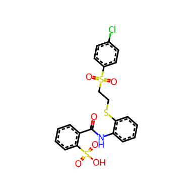 O=C(Nc1ccccc1SCCS(=O)(=O)c1ccc(Cl)cc1)c1ccccc1S(=O)(=O)O